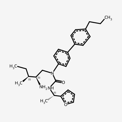 CCCc1ccc(-c2ccc(N(C[C@@H](N)[C@@H](C)CC)C(=O)N[C@@H](C)c3ccco3)cc2)cc1